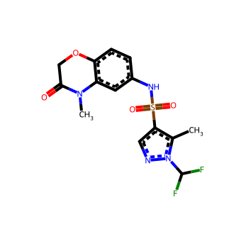 Cc1c(S(=O)(=O)Nc2ccc3c(c2)N(C)C(=O)CO3)cnn1C(F)F